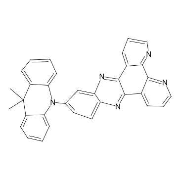 CC1(C)c2ccccc2N(c2ccc3nc4c5cccnc5c5ncccc5c4nc3c2)c2ccccc21